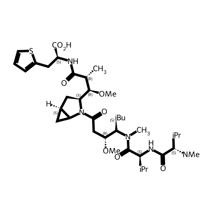 CC[C@H](C)C([C@@H](CC(=O)N1C2C[C@H]2C[C@H]1[C@H](OC)[C@@H](C)C(=O)N[C@@H](Cc1cccs1)C(=O)O)OC)N(C)C(=O)[C@@H](NC(=O)[C@@H](NC)C(C)C)C(C)C